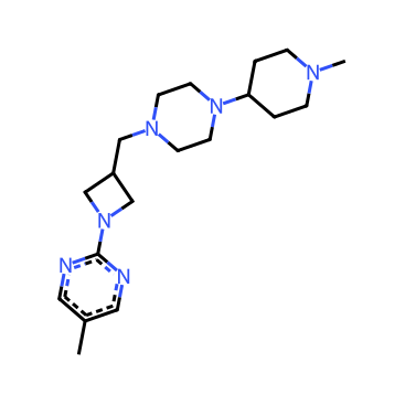 Cc1cnc(N2CC(CN3CCN(C4CCN(C)CC4)CC3)C2)nc1